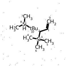 C=CC[Si](C)(C)C.C[SiH](C)C(C)(C)C